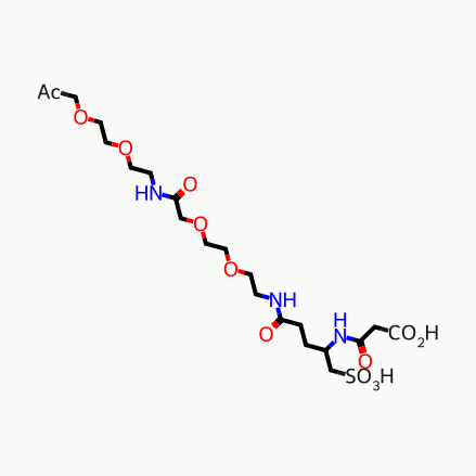 CC(=O)COCCOCCNC(=O)COCCOCCNC(=O)CCC(CS(=O)(=O)O)NC(=O)CC(=O)O